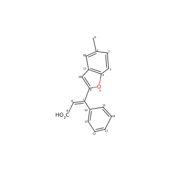 Cc1ccc2oc(C(=CC(=O)O)c3ccccc3)cc2c1